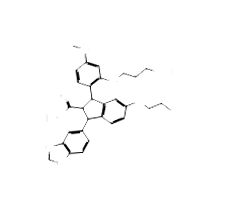 CCCOc1ccc2c(c1)C(c1ccc(OC)cc1OCCCO)C(C(=O)O)C2c1ccc2c(c1)OCO2